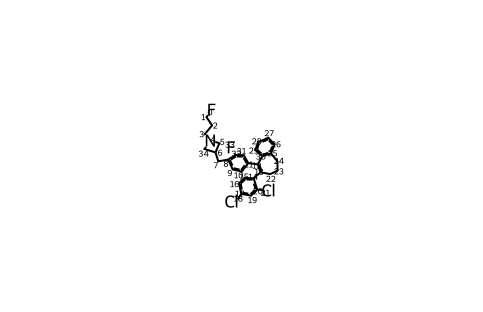 FCCCN1CC(Cc2ccc(C3=C(c4ccc(Cl)cc4Cl)CCCc4ccccc43)cc2F)C1